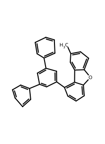 Cc1ccc2oc3cccc(-c4cc(-c5ccccc5)cc(-c5ccccc5)c4)c3c2c1